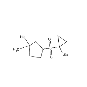 CC1(O)CCN(S(=O)(=O)C2(C(C)(C)C)CC2)C1